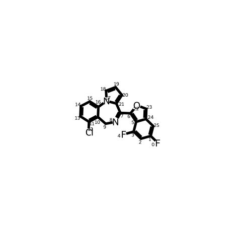 Fc1cc(F)c2c(C3=NCc4c(Cl)cccc4-n4cccc43)occ2c1